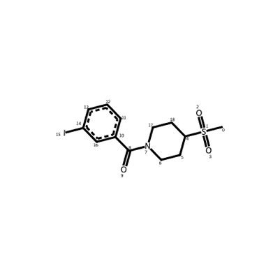 CS(=O)(=O)C1CCN(C(=O)c2cccc(I)c2)CC1